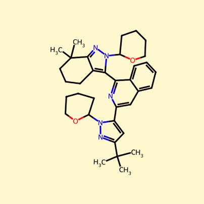 CC(C)(C)c1cc(-c2cc3ccccc3c(-c3c4c(nn3C3CCCCO3)C(C)(C)CCC4)n2)n(C2CCCCO2)n1